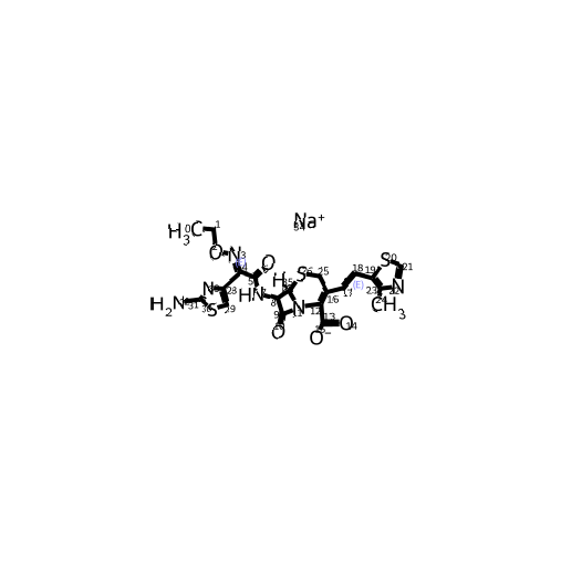 CCO/N=C(/C(=O)NC1C(=O)N2C(C(=O)[O-])=C(/C=C/c3scnc3C)CS[C@H]12)c1csc(N)n1.[Na+]